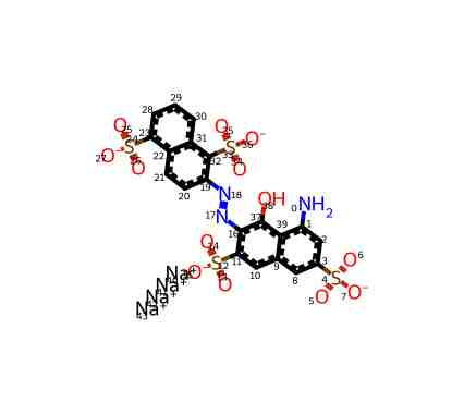 Nc1cc(S(=O)(=O)[O-])cc2cc(S(=O)(=O)[O-])c(N=Nc3ccc4c(S(=O)(=O)[O-])cccc4c3S(=O)(=O)[O-])c(O)c12.[Na+].[Na+].[Na+].[Na+]